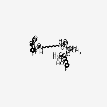 C[C@@H]1CN(CC(=O)N2CC(C)(C)c3nc(CO)c(Cc4ccc(F)cc4)cc32)[C@@H](CN2CCOC[C@H]2C(=O)NCCCCCCCCCCNC(=O)COc2c(-c3csc(N4CCOCC4)n3)ccc(F)c2F)CN1